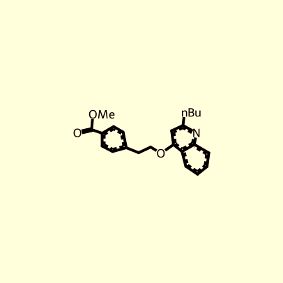 CCCCc1cc(OCCc2ccc(C(=O)OC)cc2)c2ccccc2n1